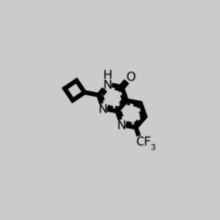 O=c1[nH]c(C2CCC2)nc2nc(C(F)(F)F)ccc12